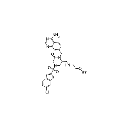 CC(C)OCCNC[C@H]1CN(S(=O)(=O)c2cc3ccc(Cl)cc3s2)CC(=O)N1Cc1ccc2c(N)ncnc2c1